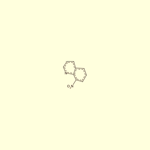 O=[N+]([O-])c1cccc2c[c]cnc12